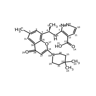 Cc1cc([C@@H](C)Nc2nnccc2C(=O)O)c2oc(N3CCC(C)(C)CC3)cc(=O)c2c1